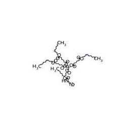 CCCCC/C=C\CCOC(=O)CCCCC(=O)OCC(COC(=O)CCCCC(=O)OCC/C=C\CCCCC)(COC(=O)CCCCC(=O)OCC/C=C\CCCCC)COC(=O)CCC(CCCCCC)OC(=O)NCCN1CCCC1